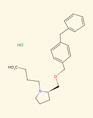 Cl.O=C(O)CCCN1CCC[C@@H]1COCc1ccc(Cc2ccccc2)cc1